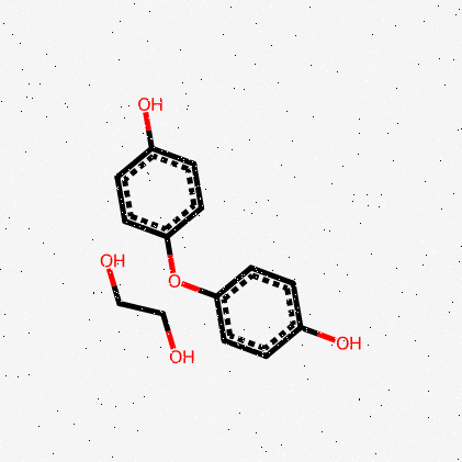 OCCO.Oc1ccc(Oc2ccc(O)cc2)cc1